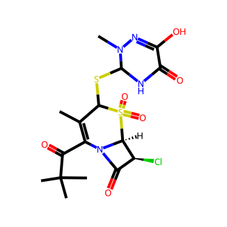 CC1=C(C(=O)C(C)(C)C)N2C(=O)[C@H](Cl)[C@@H]2S(=O)(=O)C1SC1NC(=O)C(O)=NN1C